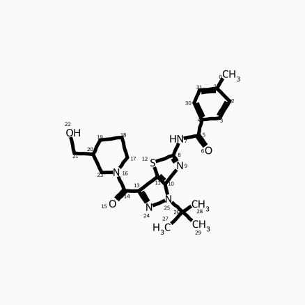 Cc1ccc(C(=O)Nc2nc3c(s2)c(C(=O)N2CCCC(CO)C2)nn3C(C)(C)C)cc1